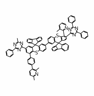 Cc1ccc(-c2ccc(-c3cc(-c4nc(C)nc(-c5ccccc5)n4)cc4c3Sc3ccc(-c5ccc6c(c5)C5(c7ccccc7-c7ccccc75)c5ccc(-c7nc(-c8ccccc8)nc(-c8ccccc8)n7)c(-c7ncccc7C)c5S6)cc3C43c4ccccc4-c4ccccc43)cc2)c(C)n1